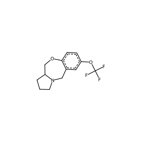 FC(F)(F)Oc1ccc2c(c1)CN1CCCC1CO2